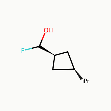 CC(C)[C@H]1C[C@@H](C(O)F)C1